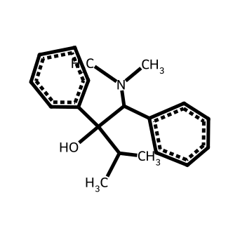 CC(C)C(O)(c1ccccc1)C(c1ccccc1)N(C)C